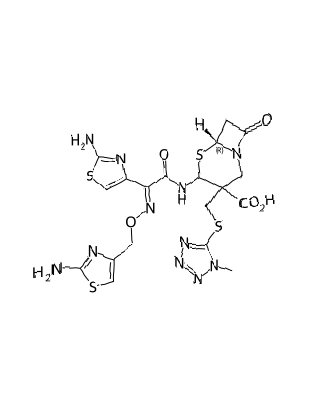 Cn1nnnc1SCC1(C(=O)O)CN2C(=O)C[C@H]2SC1NC(=O)C(=NOCc1csc(N)n1)c1csc(N)n1